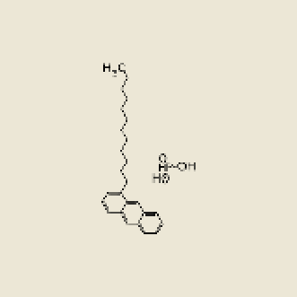 CCCCCCCCCCCCc1cccc2cc3ccccc3cc12.O=[PH](O)O